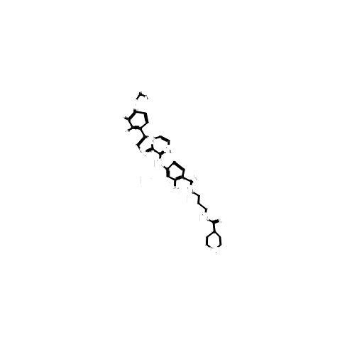 Cl.O=C(NCCCNC(=O)C1CCNCC1)c1ccc(Nc2nccn3c(-c4ccc(OC(F)F)c(F)c4F)cnc23)cc1Cl